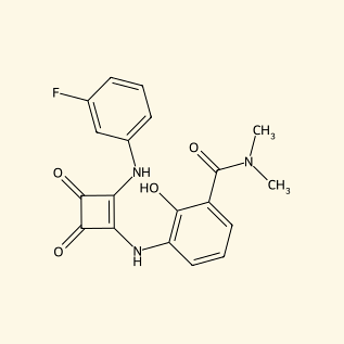 CN(C)C(=O)c1cccc(Nc2c(Nc3cccc(F)c3)c(=O)c2=O)c1O